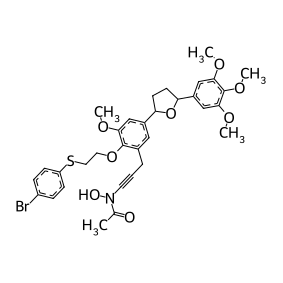 COc1cc(C2CCC(c3cc(OC)c(OC)c(OC)c3)O2)cc(CC#CN(O)C(C)=O)c1OCCSc1ccc(Br)cc1